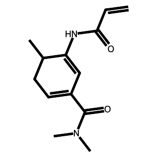 C=CC(=O)NC1=CC(C(=O)N(C)C)=CCC1C